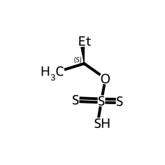 CC[C@H](C)OS(=S)(=S)S